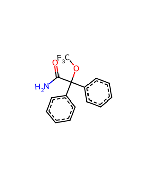 NC(=O)C(OC(F)(F)F)(c1ccccc1)c1ccccc1